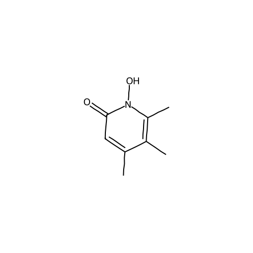 Cc1cc(=O)n(O)c(C)c1C